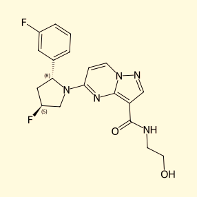 O=C(NCCO)c1cnn2ccc(N3C[C@@H](F)C[C@@H]3c3cccc(F)c3)nc12